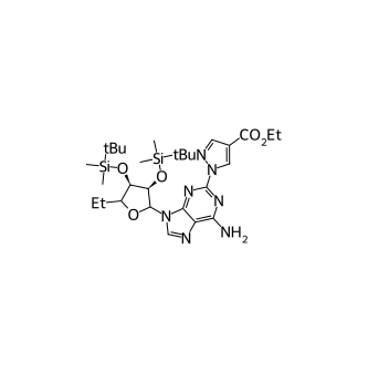 CCOC(=O)c1cnn(-c2nc(N)c3ncn(C4OC(CC)[C@@H](O[Si](C)(C)C(C)(C)C)[C@H]4O[Si](C)(C)C(C)(C)C)c3n2)c1